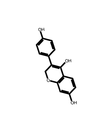 OC1=C(c2ccc(O)cc2)COc2cc(O)ccc21